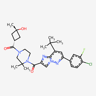 CC(C)(C)c1cc(-c2ccc(Cl)c(F)c2)nn2cc(C(=O)N3CCN(C(=O)[C@H]4C[C@@](C)(O)C4)CC3(C)C)nc12